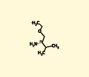 [CH2]COC[C@@H](N)C(C)C